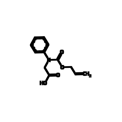 C=CCOC(=O)N(CC(=O)O)c1ccccc1